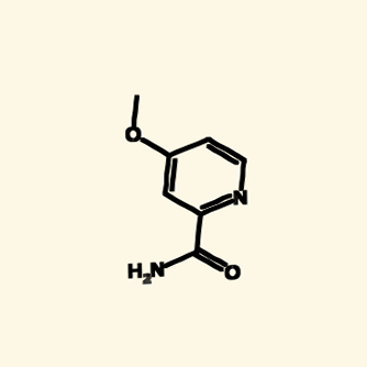 COc1ccnc(C(N)=O)c1